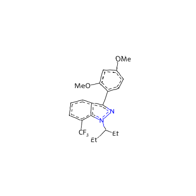 CCC(CC)n1nc(-c2ccc(OC)cc2OC)c2cccc(C(F)(F)F)c21